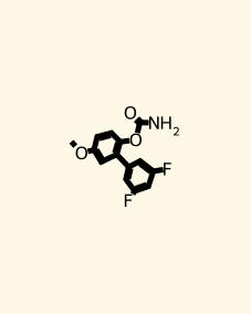 COc1ccc(OC(N)=O)c(-c2cc(F)cc(F)c2)c1